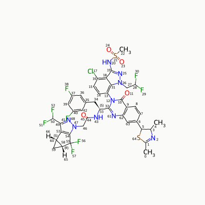 CC1=NC(C)C(c2ccc3c(=O)n(-c4ccc(Cl)c5c(NS(C)(=O)=O)nn(CC(F)F)c45)c([C@H](Cc4cc(F)cc(F)c4)NC(=O)Cn4nc(C(F)F)c5c4C(F)(F)[C@@H]4C[C@H]54)nc3c2)S1